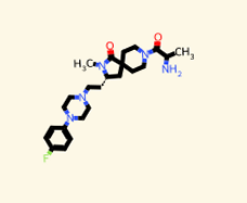 CC(N)C(=O)N1CCC2(CC1)C[C@H](CCN1CCN(c3ccc(F)cc3)CC1)N(C)C2=O